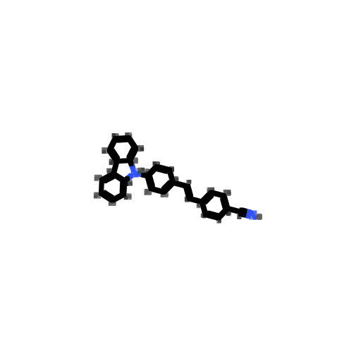 N#Cc1ccc(C=Cc2ccc(-n3c4ccccc4c4ccccc43)cc2)cc1